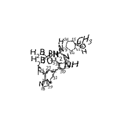 BC(B)(B)Oc1nc(N[C@H]2CC[C@](C)(O)CC2)nc2[nH]cc(-c3cc(F)c4nccn4c3)c12